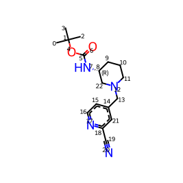 CC(C)(C)OC(=O)N[C@@H]1CCCN(Cc2ccnc(C#N)c2)C1